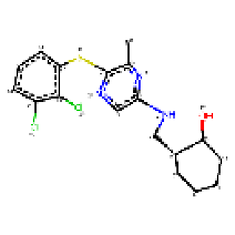 Cc1nc(NC[C@@H]2CCCC[C@@H]2O)cnc1Sc1cccc(Cl)c1Cl